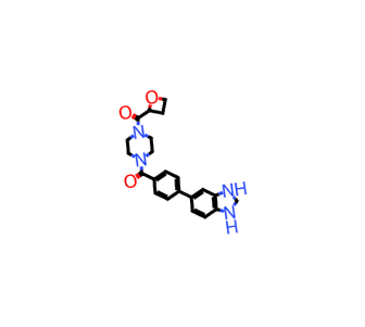 O=C(c1ccc(-c2ccc3c(c2)NCN3)cc1)N1CCN(C(=O)C2CCO2)CC1